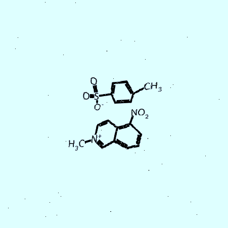 C[n+]1ccc2c([N+](=O)[O-])cccc2c1.Cc1ccc(S(=O)(=O)[O-])cc1